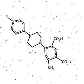 Cc1cc(N2CCN(c3ccc(F)cc3)CC2)c(C(=O)O)cc1C(=O)O